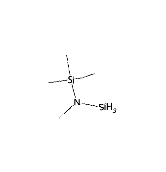 CN([SiH3])[Si](C)(C)C